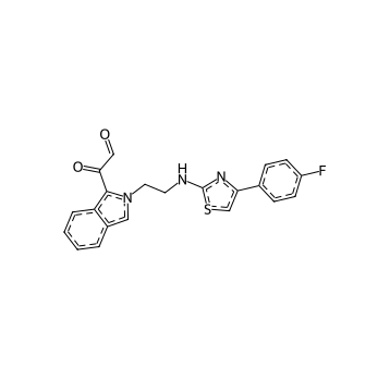 O=CC(=O)c1c2ccccc2cn1CCNc1nc(-c2ccc(F)cc2)cs1